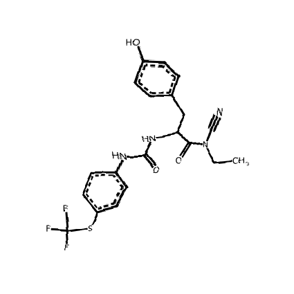 CCN(C#N)C(=O)C(Cc1ccc(O)cc1)NC(=O)Nc1ccc(SC(F)(F)F)cc1